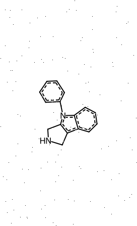 c1ccc(-n2c3c(c4ccccc42)CNC3)cc1